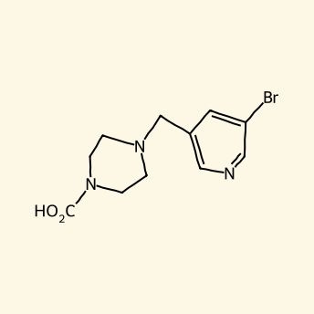 O=C(O)N1CCN(Cc2cncc(Br)c2)CC1